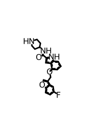 O=C(NC1CCNCC1)c1cc2c(OCc3coc4ccc(F)cc34)cccc2[nH]1